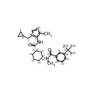 Cc1ncn(CC2CC2)c1NC(=O)[C@H]1CCC[C@@H](N(C)C(=O)c2cccc(C(F)(F)F)c2)C1